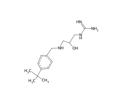 CC(C)(C)c1ccc(CNCC(O)CNC(=N)N)cc1